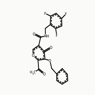 CC(=O)c1occ(C(=O)NCc2c(F)cc(F)cc2F)c(=O)c1OCc1ccccc1